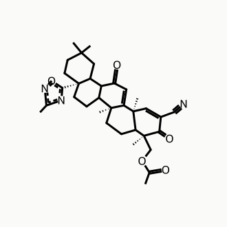 CC(=O)OC[C@]1(C)C(=O)C(C#N)=C[C@]2(C)C3=CC(=O)C4C5CC(C)(C)CC[C@]5(c5nc(C)no5)CCC4[C@]3(C)CCC21